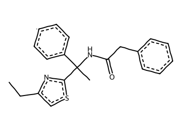 CCc1csc(C(C)(NC(=O)Cc2ccccc2)c2cc[c]cc2)n1